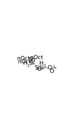 C=C(C)C(=O)OCCC[SiH2]O[Si](C)(C)CC[SiH2]O[Si](CCCCCCCC)(CCCCCCCC)CCCCCCCC